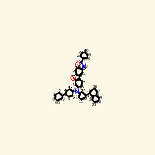 c1ccc(-c2ccc(N(c3cccc(-c4cccc5ccccc45)c3)c3ccc4c(c3)oc3cc5oc(-c6ccccc6)nc5cc34)cc2)cc1